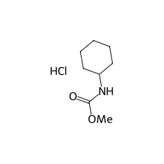 COC(=O)NC1CCCCC1.Cl